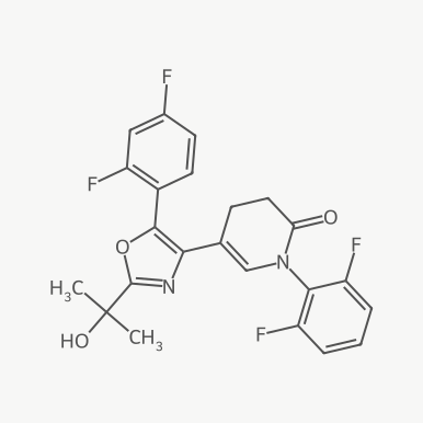 CC(C)(O)c1nc(C2=CN(c3c(F)cccc3F)C(=O)CC2)c(-c2ccc(F)cc2F)o1